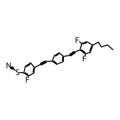 CCCCc1cc(F)c(C#Cc2ccc(C#Cc3ccc(SC#N)c(F)c3)cc2)c(F)c1